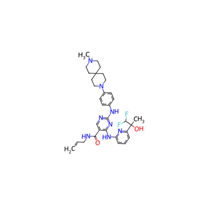 C=CCNC(=O)c1cnc(Nc2ccc(N3CCC4(CCN(C)CC4)CC3)cc2)nc1Nc1cccc(C(C)(O)C(F)F)n1